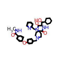 CNC(=O)c1ccc(Oc2ccc(CN3CCC4(CC3)C(=O)N[C@H]([C@H](O)C3CCCCC3)C(=O)N4Cc3ccccn3)cc2)cc1